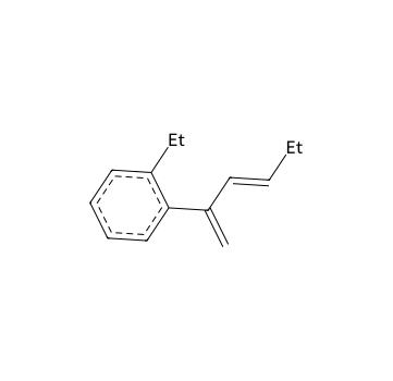 C=C(C=CCC)c1ccccc1CC